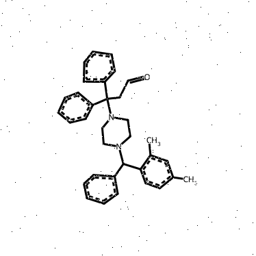 Cc1ccc(C(c2ccccc2)N2CCN(C(CC=O)(c3ccccc3)c3ccccc3)CC2)c(C)c1